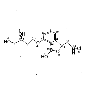 OC[C@@H](O)CCOc1cccc2c1B(O)OC2CNCl